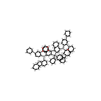 c1ccc(-c2ccc(N(c3cc4c(c5ccccc35)-c3c(cc(N(c5ccc(-c6ccccc6)cc5-c5ccccc5)c5cccc6c5oc5ccccc56)c5ccccc35)C4(c3ccccc3)c3ccccc3)c3cccc4c3oc3ccccc34)c(-c3ccccc3)c2)cc1